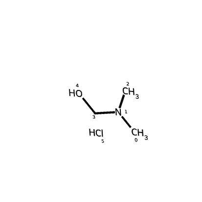 CN(C)CO.Cl